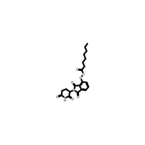 CCCCCCCC(=O)OOc1cccc2c1C(=O)N(C1CCC(=O)NC1=O)C2=O